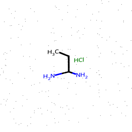 CCC(N)N.Cl